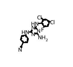 N#Cc1ccc(Nc2nc(N)nc(Nc3c(F)cc(Cl)cc3Cl)n2)cc1